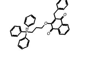 O=C1C(Cc2ccccc2)=C(OCCC[PH](c2ccccc2)(c2ccccc2)c2ccccc2)C(=O)c2ccccc21